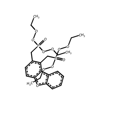 CCOOP(=O)(Cc1ccc2oc3ccccc3c2c1CP(=O)(OOCC)OOCC)OOCC